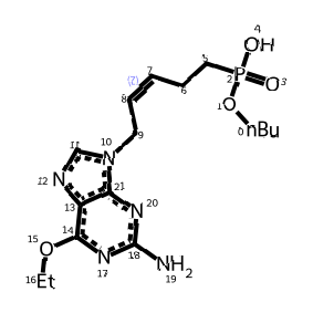 CCCCOP(=O)(O)CC/C=C\Cn1cnc2c(OCC)nc(N)nc21